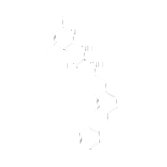 Cc1cc(C)nc(NC(=N)NCCc2ccc(Oc3ccccc3)cc2)c1